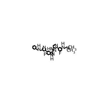 CN(C)CCNc1cc(F)cc(-c2nccc3[nH]c(-c4n[nH]c5cc(F)c(-c6cncc(CNCc7ccccc7)c6)cc45)nc23)c1